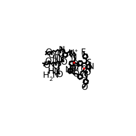 COc1ccc(COC(=O)C(Cc2ccccc2OCc2ccnc(-c3ccccc3OC)n2)Oc2ncnc3sc(-c4ccc(F)cc4)c(-c4ccc(OCCN5CC[N+](C)(Cc6ccc(NC(=O)C(CCCNC(N)=O)NC(=O)CNC(=O)OC(C)(C)C)cc6CN(C)C(=O)CCCC(=O)OC(C)(C)C)CC5)c(Cl)c4C)c23)cc1